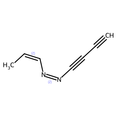 C#CC#C/N=N\C=C/C